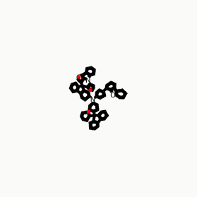 c1ccc(C2(c3ccc(N(c4ccc(-c5cccc6c5oc5ccccc56)cc4)c4ccc5c(c4)C4(c6ccccc6-5)c5ccccc5-n5c6ccccc6c6cccc4c65)cc3)c3ccccc3-c3ccccc32)cc1